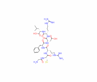 CC(C)C[C@H](NC(=O)[C@H](CCCNC(=N)N)NC(=O)[C@H](CC(=O)O)NC(=O)[C@H](Cc1ccccc1)NC(=O)[C@H](CCCNC(=N)N)NC(=O)[C@H](CS)NC(=O)CN)C(=O)O